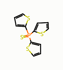 S=P(c1cccs1)(c1cccs1)c1cccs1